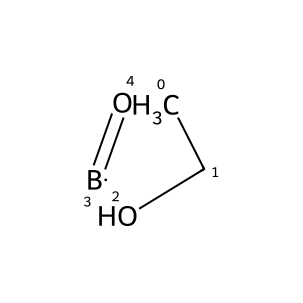 CCO.[B]=O